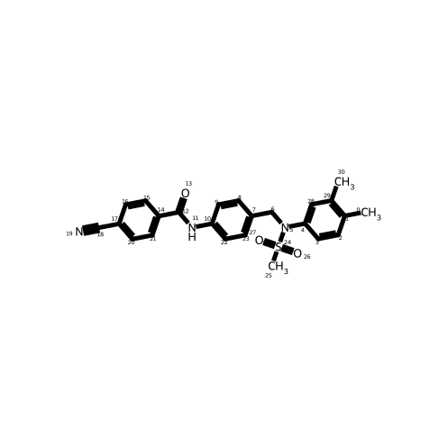 Cc1ccc(N(Cc2ccc(NC(=O)c3ccc(C#N)cc3)cc2)S(C)(=O)=O)cc1C